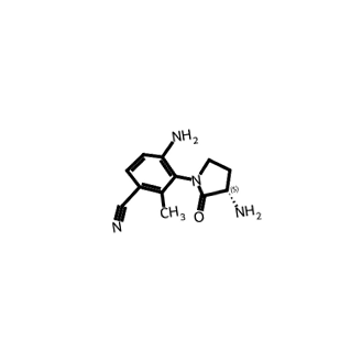 Cc1c(C#N)ccc(N)c1N1CC[C@H](N)C1=O